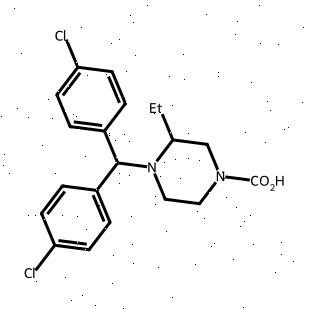 CCC1CN(C(=O)O)CCN1C(c1ccc(Cl)cc1)c1ccc(Cl)cc1